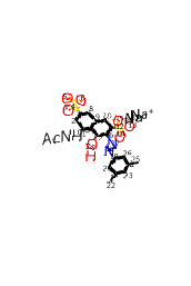 CC(=O)Nc1cc(S(=O)(=O)[O-])cc2cc(S(=O)(=O)[O-])c(N=Nc3cc(C)cc(C)c3)c(O)c12.[Na+].[Na+]